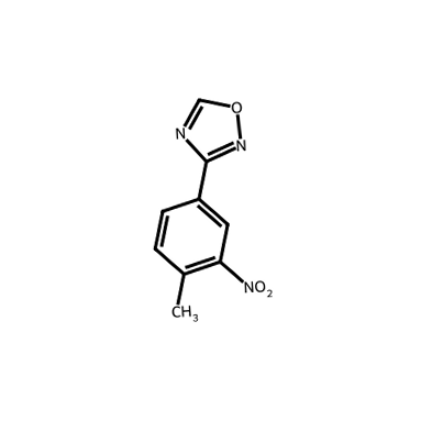 Cc1ccc(-c2ncon2)cc1[N+](=O)[O-]